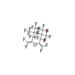 FC(F)=C(OC(=C(F)F)C(F)(F)C(F)(C(F)(F)F)C(F)(F)F)C(F)(F)C(F)(C(F)(F)F)C(F)(F)F